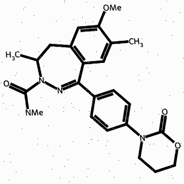 CNC(=O)N1N=C(c2ccc(N3CCCOC3=O)cc2)c2cc(C)c(OC)cc2CC1C